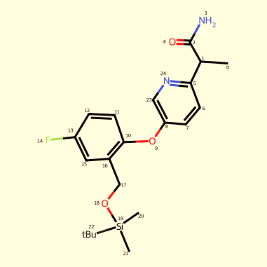 CC(C(N)=O)c1ccc(Oc2ccc(F)cc2CO[Si](C)(C)C(C)(C)C)cn1